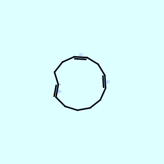 [C]1=C/CCCC/C=C\C/C=C\CC/1